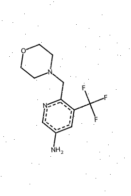 Nc1cnc(CN2CCOCC2)c(C(F)(F)F)c1